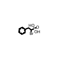 O=P(O)(O)C(Br)Cc1ccccc1